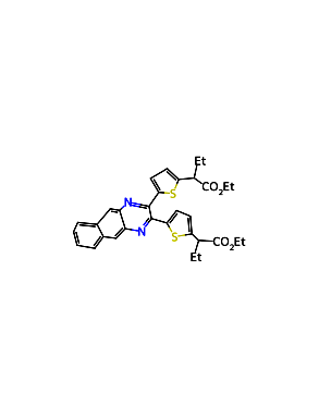 CCOC(=O)C(CC)c1ccc(-c2nc3cc4ccccc4cc3nc2-c2ccc(C(CC)C(=O)OCC)s2)s1